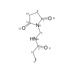 O=C(CI)NCN1C(=O)CCC1=O